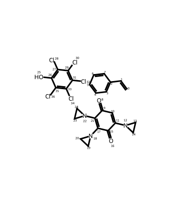 C=Cc1ccccc1.O=C1C=C(N2CC2)C(=O)C(N2CC2)=C1N1CC1.Oc1c(Cl)c(Cl)c(Cl)c(Cl)c1Cl